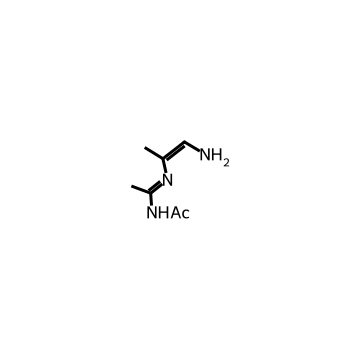 CC(=O)N/C(C)=N/C(C)=C\N